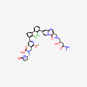 CNC(=O)CC(O)CNCc1cnc2cc(-c3cccc(-c4cccc(-c5ccc(CN(C[C@@H]6CCC(=O)N6)C(=O)O)c(OC)n5)c4Cl)c3Cl)ccn2c1=O